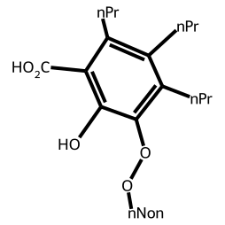 CCCCCCCCCOOc1c(O)c(C(=O)O)c(CCC)c(CCC)c1CCC